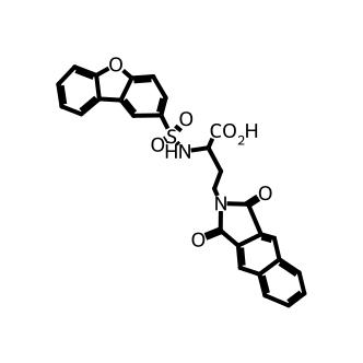 O=C(O)C(CCN1C(=O)c2cc3ccccc3cc2C1=O)NS(=O)(=O)c1ccc2oc3ccccc3c2c1